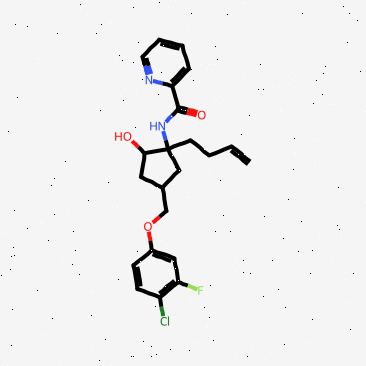 C=CCCC1(NC(=O)c2ccccn2)CC(COc2ccc(Cl)c(F)c2)CC1O